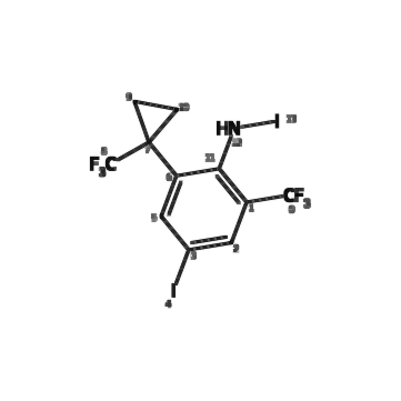 FC(F)(F)c1cc(I)cc(C2(C(F)(F)F)CC2)c1NI